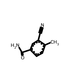 Cc1ccc(C(N)=O)cc1C#N